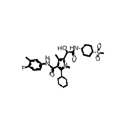 Cc1cc(NC(=O)c2c(C)c(C(O)C(=O)N[C@H]3CC[C@@H](S(C)(=O)=O)CC3)n(C)c2C2CCCCC2)ccc1F